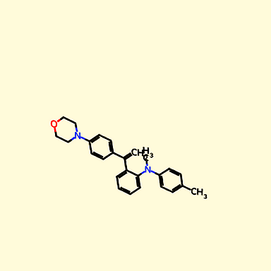 C=C(c1ccc(N2CCOCC2)cc1)c1ccccc1N(C)c1ccc(C)cc1